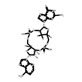 Nc1nc2c(ncn2[C@@H]2O[C@@H]3COP(O)(=S)O[C@H]4[C@H](F)[C@H](n5cnc6c(N)ccnc65)O[C@@H]4COP(O)(=S)O[C@@H]2C3(F)F)c(=O)[nH]1